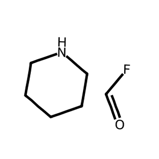 C1CCNCC1.O=CF